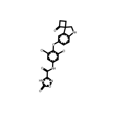 O=C(Nc1cc(Cl)c(Oc2ccc3c(c2)C2(CCC2=O)CN3)c(Cl)c1)c1noc(=O)[nH]1